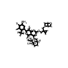 Cc1c(F)c(N)cc(-c2nc3c4c(nc(OCC5(CN6CC7OCC76)CC5)nc4c2F)N2C[C@H]4CC[C@H](N4)[C@H]2[C@H](C)O3)c1C(F)(F)F